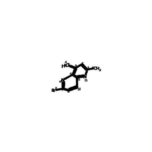 Cc1cc(O)c2nc(Br)ccc2n1